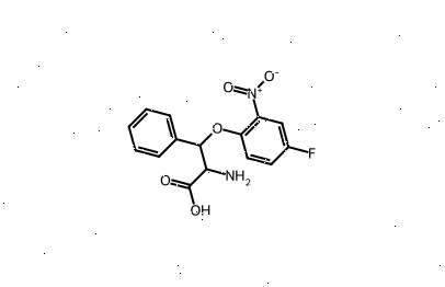 NC(C(=O)O)C(Oc1ccc(F)cc1[N+](=O)[O-])c1ccccc1